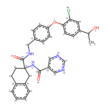 CC(O)c1ccc(Oc2ccc(CNC(=O)C3(NC(=O)c4cncnc4)CCc4ccccc4C3)cc2)c(Cl)c1